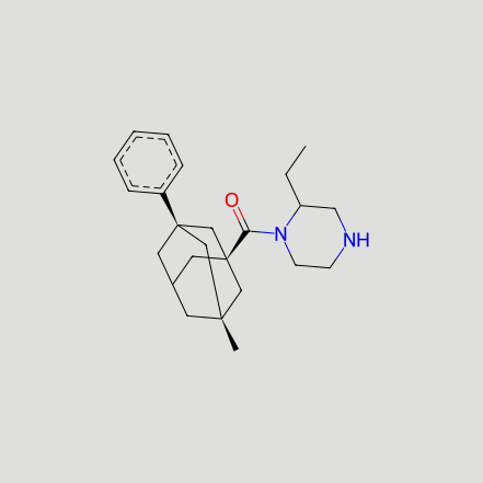 CCC1CNCCN1C(=O)[C@]12CC3C[C@@](C)(C1)C[C@](c1ccccc1)(C3)C2